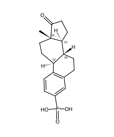 C[C@]12CC[C@@H]3c4ccc(P(=O)(O)O)cc4CC[C@H]3[C@@H]1CCC2=O